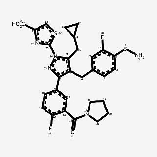 NSc1ccc(Cc2c(-c3ccc(F)c(C(=O)N4CCCC4)c3)nn(-c3nc(C(=O)O)cs3)c2CC2CC2)cc1F